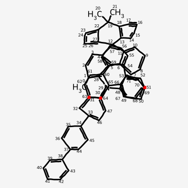 CC1C=CC2=C(c3ccccc3C23c2ccc#cc2C(C)(C)c2ccccc23)C1N(c1ccc(-c2ccc(-c3ccccc3)cc2)cc1)c1ccccc1-c1ccccc1-c1ccccc1-c1ccccc1